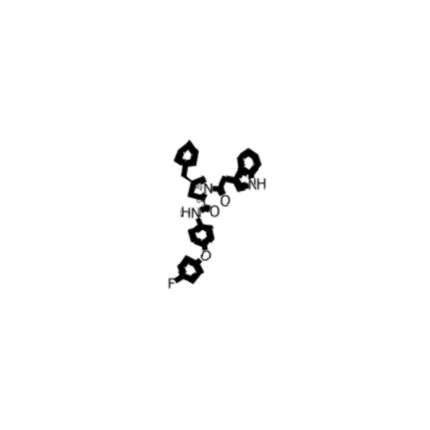 O=C(Nc1ccc(Oc2ccc(F)cc2)cc1)[C@@H]1C[C@@H](Cc2ccccc2)CN1C(=O)Cc1c[nH]c2ccccc12